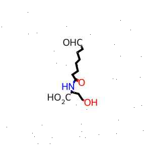 O=CCCCCCCC(=O)N[C@@H](CCO)C(=O)O